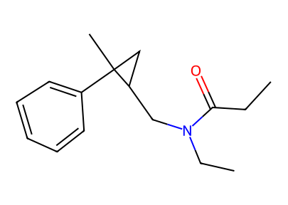 CCC(=O)N(CC)CC1CC1(C)c1ccccc1